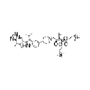 Cc1c(-c2[nH]c3ccc(C4CCN(CC(=O)NP(=O)(OCC[Si](C)(C)C)OCC[Si](C)(C)C)CC4)cc3c2C(C)C)cn2ncnc2c1C